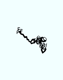 O=C(NOC1CCCCO1)C1(S(=O)(=O)N2CCC(CCCCCCCC(F)(F)F)CC2)CCOCC1